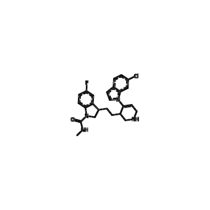 CNC(=O)N1CC(CCC2CNCC=C2n2ccc3ccc(Cl)cc32)c2cc(F)ccc21